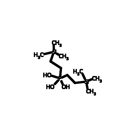 C[Si](C)(C)CCP(O)(O)(O)CC[Si](C)(C)C